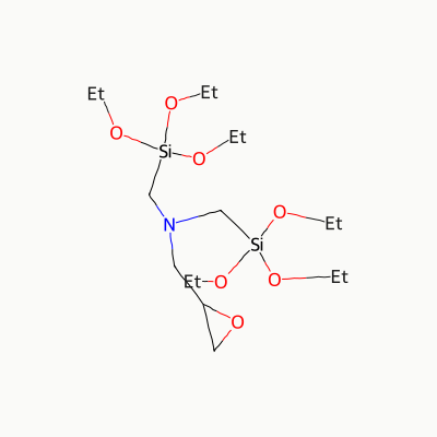 CCO[Si](CN(CC1CO1)C[Si](OCC)(OCC)OCC)(OCC)OCC